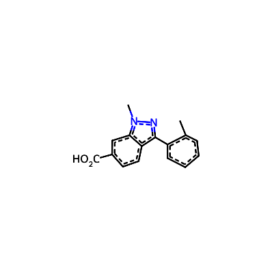 Cc1ccccc1-c1nn(C)c2cc(C(=O)O)ccc12